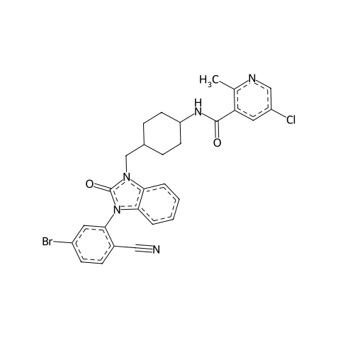 Cc1ncc(Cl)cc1C(=O)NC1CCC(Cn2c(=O)n(-c3cc(Br)ccc3C#N)c3ccccc32)CC1